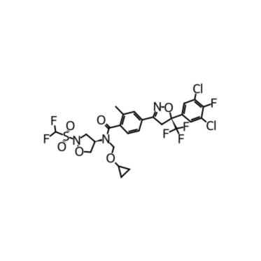 Cc1cc(C2=NO[C@@](c3cc(Cl)c(F)c(Cl)c3)(C(F)(F)F)C2)ccc1C(=O)N(COC1CC1)[C@H]1CON(S(=O)(=O)C(F)F)C1